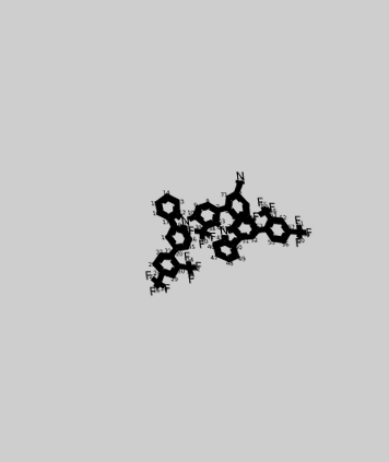 N#Cc1cccc(-c2ccc(-n3c4ccccc4c4cc(-c5ccc(C(F)(F)F)cc5C(F)(F)F)ccc43)c(C(F)(F)F)c2-n2c3ccccc3c3cc(-c4ccc(C(F)(F)F)cc4C(F)(F)F)ccc32)c1